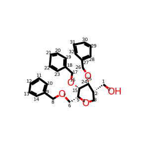 OC[C@@H]1CO[C@H](COCc2ccccc2)[C@H](OCc2ccccc2)[C@@H]1OCc1ccccc1